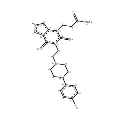 COC(=O)CCn1c(=O)n(CCN2CCN(c3ccc(F)cc3)CC2)c(=O)c2cscc21